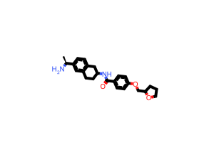 C[C@H](N)c1ccc2c(c1)CCC(NC(=O)c1ccc(OCC3CCCO3)cc1)C2